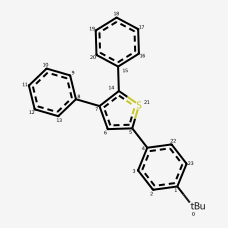 CC(C)(C)c1ccc(-c2cc(-c3ccccc3)c(-c3ccccc3)s2)cc1